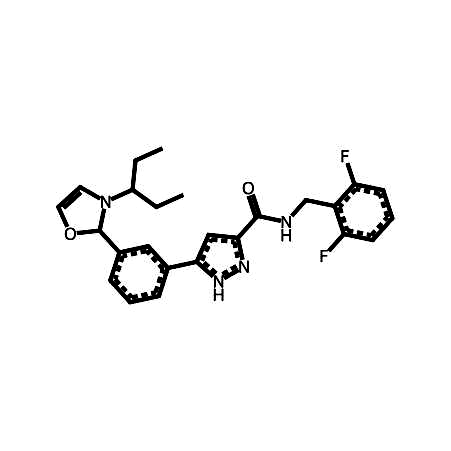 CCC(CC)N1C=COC1c1cccc(-c2cc(C(=O)NCc3c(F)cccc3F)n[nH]2)c1